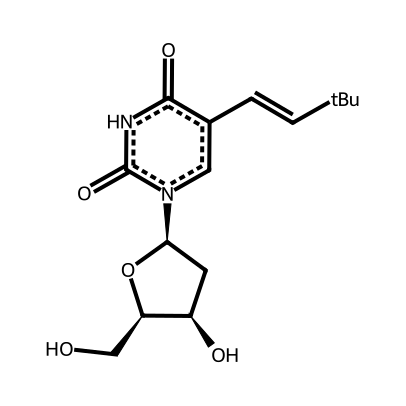 CC(C)(C)/C=C/c1cn([C@H]2C[C@@H](O)[C@@H](CO)O2)c(=O)[nH]c1=O